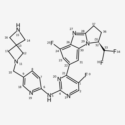 Fc1cnc(Nc2ccc(CN3CC4(CNC4)C3)cn2)nc1-c1cc(F)c2nc3n(c2c1)[C@H](C(F)F)CC3